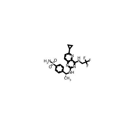 C[C@@H](Nc1nc(NCC(F)(F)F)c2nc(C3CC3)ccc2n1)c1ccc(S(N)(=O)=O)cc1